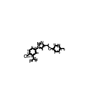 Cc1ccc(OCc2cn(-c3ccc(Cl)c(C(F)F)c3)nn2)cn1